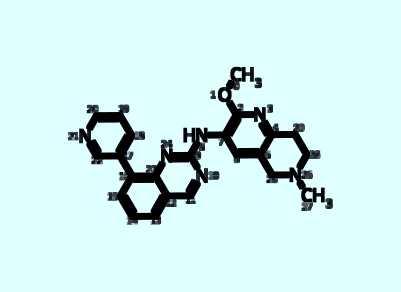 COc1nc2c(cc1Nc1ncc3cccc(-c4cccnc4)c3n1)CN(C)CC2